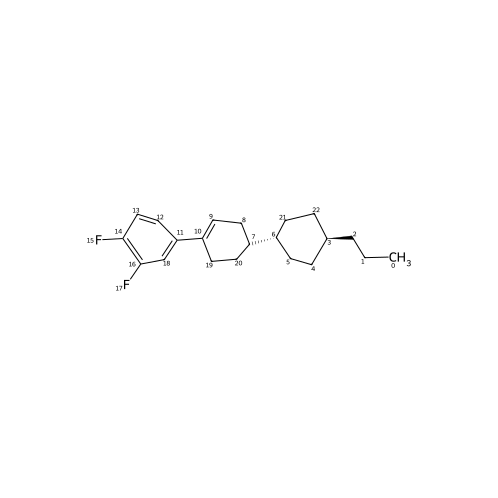 CCC[C@H]1CC[C@H](C2CC=C(c3ccc(F)c(F)c3)CC2)CC1